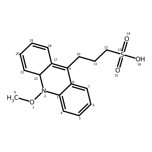 CON1c2ccccc2C(CCCS(=O)(=O)O)=C2C=CC=CC21